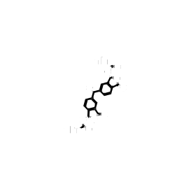 CCCC(=O)OC1OC(=O)c2cc(C(=O)c3ccc4c(c3)C(OC(=O)CCC)OC4=O)ccc21